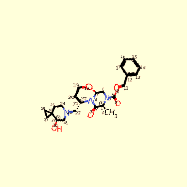 C[C@H]1C(=O)N2C(CN1C(=O)OCc1ccccc1)OCC[C@H]2CN1CCC2(CC2)[C@H](O)C1